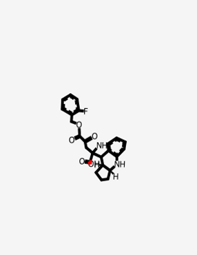 NC(CC(=O)C(=O)OCc1ccccc1F)(C(=O)O)C1c2ccccc2N[C@@H]2CCC[C@H]12